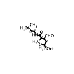 CCCCCCCCC(C)CC(C=O)C(C)C(=O)NCCN(C)C